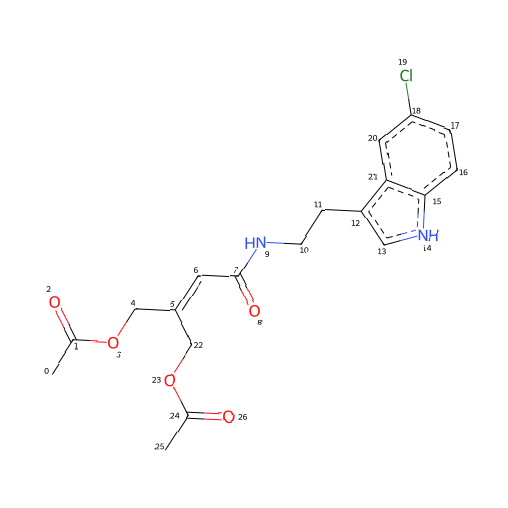 CC(=O)OCC(=CC(=O)NCCc1c[nH]c2ccc(Cl)cc12)COC(C)=O